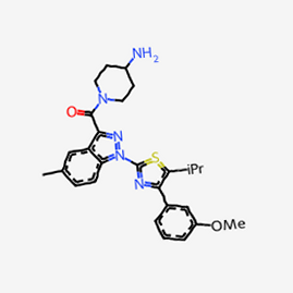 COc1cccc(-c2nc(-n3nc(C(=O)N4CCC(N)CC4)c4cc(C)ccc43)sc2C(C)C)c1